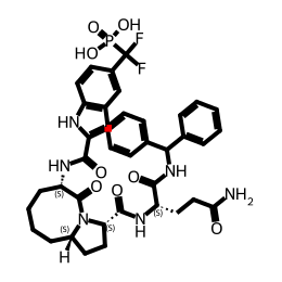 NC(=O)CC[C@H](NC(=O)[C@@H]1CC[C@@H]2CCCC[C@H](NC(=O)c3cc4cc(C(F)(F)P(=O)(O)O)ccc4[nH]3)C(=O)N21)C(=O)NC(c1ccccc1)c1ccccc1